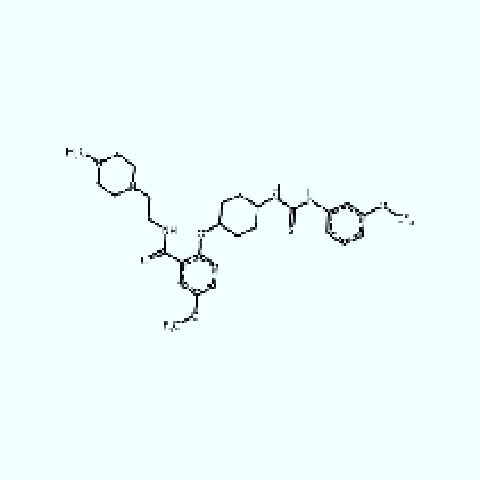 CN1CCN(CCNC(=O)c2cc(OC(F)(F)F)ccc2OC2CCC(NC(=S)Nc3cccc(OC(F)(F)F)c3)CC2)CC1